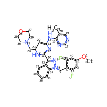 CCOc1cc(F)c(Cn2nc(C3=NC(Nc4ncncc4C)=CC(CN4CCOCC4)N3)c3ccccc32)c(F)c1